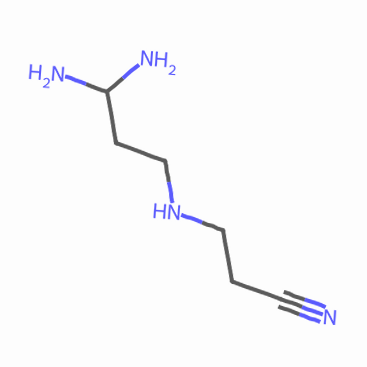 N#CCCNCCC(N)N